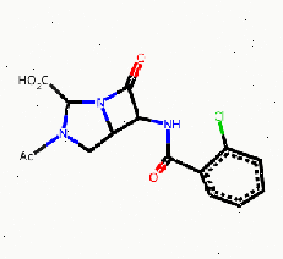 CC(=O)N1CC2C(NC(=O)c3ccccc3Cl)C(=O)N2C1C(=O)O